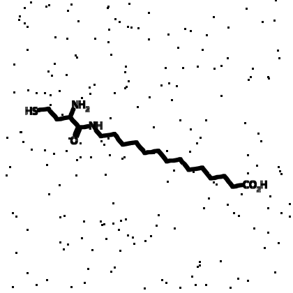 NC(CCS)C(=O)NCCCCCCCCCCCCCC(=O)O